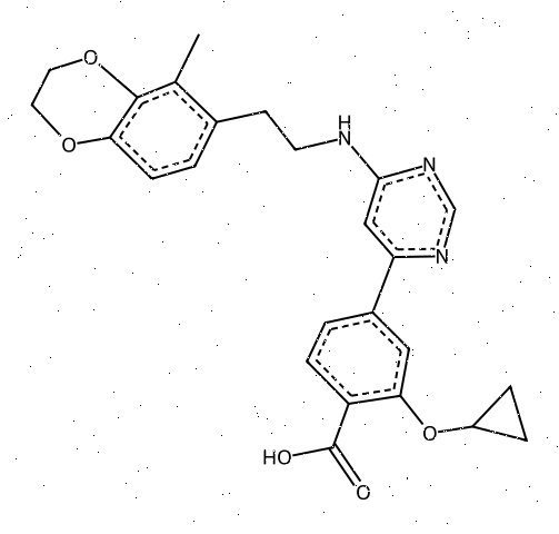 Cc1c(CCNc2cc(-c3ccc(C(=O)O)c(OC4CC4)c3)ncn2)ccc2c1OCCO2